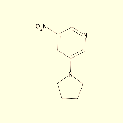 O=[N+]([O-])c1cncc(N2CCCC2)c1